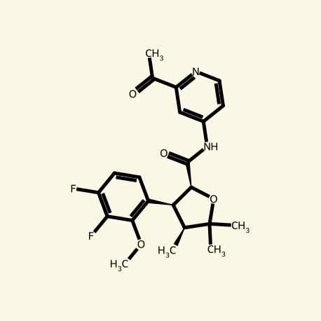 COc1c([C@H]2[C@@H](C(=O)Nc3ccnc(C(C)=O)c3)OC(C)(C)[C@H]2C)ccc(F)c1F